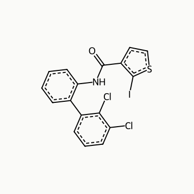 O=C(Nc1ccccc1-c1cccc(Cl)c1Cl)c1ccsc1I